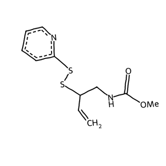 C=CC(CNC(=O)OC)SSc1ccccn1